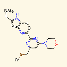 CNCc1cc2nc(-c3nc(CSC(C)C)cc(N4CCOCC4)n3)ccc2[nH]1